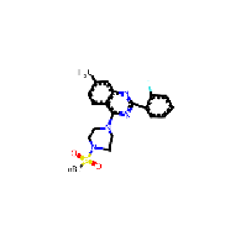 CCCCS(=O)(=O)N1CCN(c2nc(-c3ccccc3F)nc3cc(C)ccc23)CC1